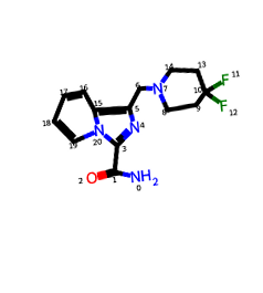 NC(=O)c1nc(CN2CCC(F)(F)CC2)c2ccccn12